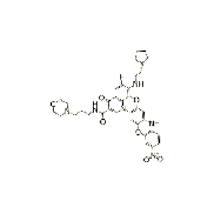 O=C(NCCCN1CCOCC1)c1cn2c3cc4oc5cc([N+](=O)[O-])ccc5[nH]c4cc3oc3c(NCCN4CCCC4)c(F)cc(c1=O)c32